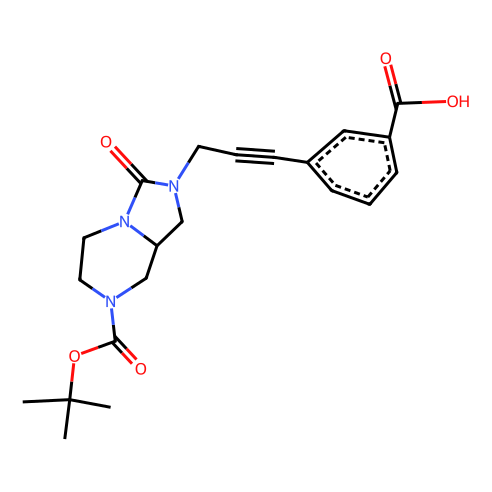 CC(C)(C)OC(=O)N1CCN2C(=O)N(CC#Cc3cccc(C(=O)O)c3)CC2C1